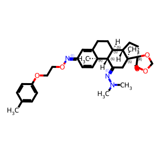 Cc1ccc(OCCO/N=C2\C=C[C@@]3(C)C(=C2)CC[C@@H]2[C@@H]3/C(=N/N(C)C)C[C@@]3(C)[C@H]2CC[C@@]32OCOC23COCO3)cc1